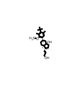 Cc1cc([C@H]2CC[C@]3(C)[C@@H](C=CCO)CC[C@]3(O)C2)c(O[SiH3])c(C)c1C(C)(C)C